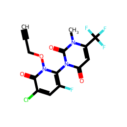 C#CCOn1c(-n2c(=O)cc(C(F)(F)F)n(C)c2=O)c(F)cc(Cl)c1=O